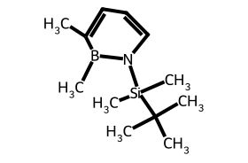 CB1C(C)=CC=CN1[Si](C)(C)C(C)(C)C